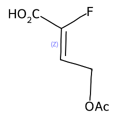 CC(=O)OC/C=C(\F)C(=O)O